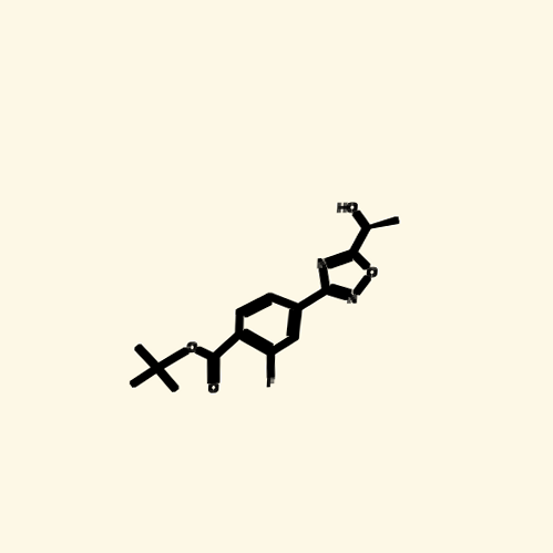 C[C@H](O)c1nc(-c2ccc(C(=O)OC(C)(C)C)c(F)c2)no1